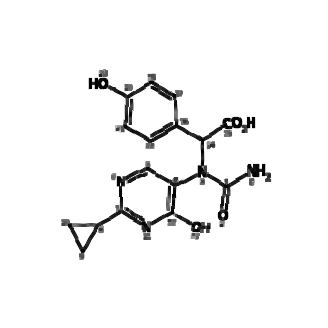 NC(=O)N(c1cnc(C2CC2)nc1O)C(C(=O)O)c1ccc(O)cc1